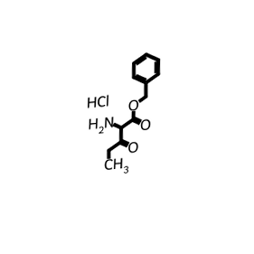 CCC(=O)C(N)C(=O)OCc1ccccc1.Cl